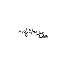 COC(=O)[C@@H]1CC(OCc2ccc(Br)cc2)CN1